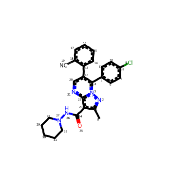 Cc1nn2c(-c3ccc(Cl)cc3)c(-c3ccccc3C#N)cnc2c1C(=O)NN1CCCCC1